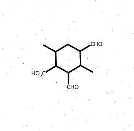 CC1CC(C=O)C(C)C(C=O)C1C(=O)O